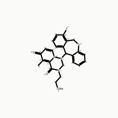 COCCN1CN(C2c3ccccc3OCc3c(F)cccc32)n2ccc(=O)c(C)c2C1=O